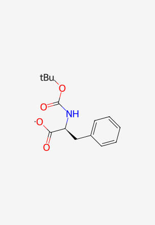 CC(C)(C)OC(=O)N[C@@H](Cc1ccccc1)C([O])=O